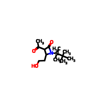 CC(=O)C1C(=O)N([Si](C)(C)C(C)(C)C)C1CCO